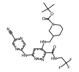 CC(C)(C)OC(=O)N1CCCC(CNc2cc(Nc3cnc(C#N)cn3)nnc2C(=O)NCC(F)(F)F)C1